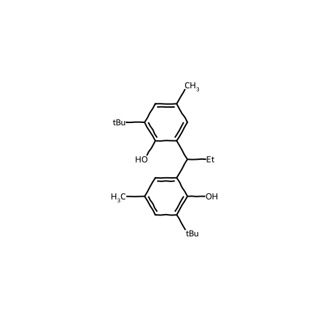 CCC(c1cc(C)cc(C(C)(C)C)c1O)c1cc(C)cc(C(C)(C)C)c1O